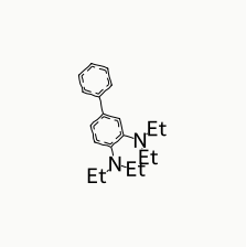 CCN(CC)c1ccc(-c2ccccc2)cc1N(CC)CC